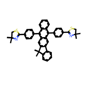 CC1(C)CSC(c2ccc(-c3c4ccccc4c(-c4ccc(C5=NC(C)(C)CS5)cc4)c4cc5c(cc34)-c3ccccc3C5(C)C)cc2)=N1